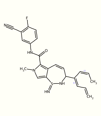 C=C/C=C(\C=C/C)C1C=Cc2c(cn(C)c2C(=O)Nc2ccc(F)c(C#N)c2)S(=N)N1